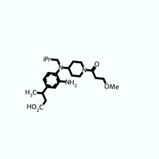 COCCC(=O)N1CCC(N(CC(C)C)c2ccc(C(C)CC(=O)O)cc2N)CC1